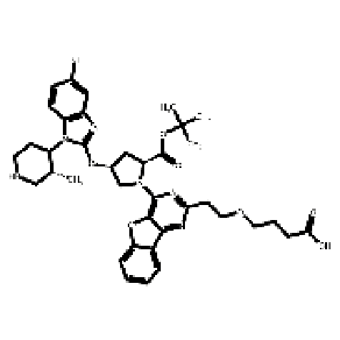 C[C@@H]1CNCCC1n1c(O[C@H]2C[C@@H](C(=O)OC(C)(C)C)N(c3nc(CCOCCCC(=O)O)nc4c3oc3ccccc34)C2)nc2cc(Cl)ccc21